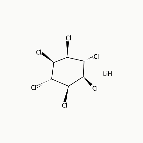 Cl[C@H]1[C@H](Cl)[C@@H](Cl)[C@@H](Cl)[C@H](Cl)[C@H]1Cl.[LiH]